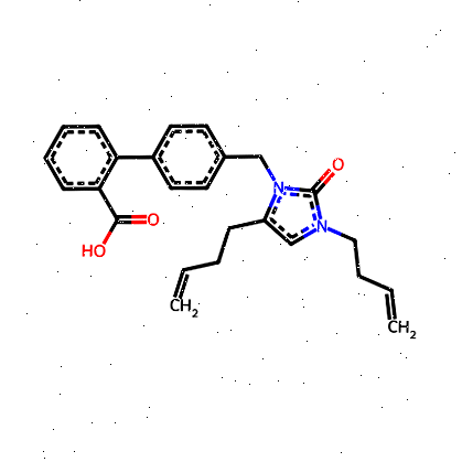 C=CCCc1cn(CCC=C)c(=O)n1Cc1ccc(-c2ccccc2C(=O)O)cc1